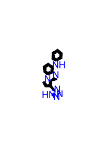 c1ccc(Nc2cccc3c2ncc2c(-c4nnn[nH]4)ccn23)cc1